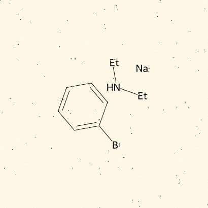 CCNCC.[B]c1ccccc1.[Na]